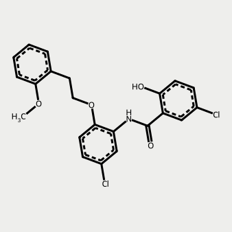 COc1ccccc1CCOc1ccc(Cl)cc1NC(=O)c1cc(Cl)ccc1O